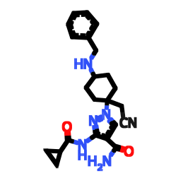 N#CCC1(n2cc(C(N)=O)c(NC(=O)C3CC3)n2)CCC(NCc2ccccc2)CC1